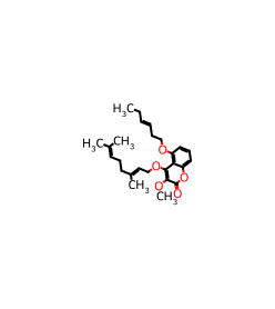 CC/C=C/CCOc1cccc2oc(=O)c(OC)c(OC/C=C(\C)CCC=C(C)C)c12